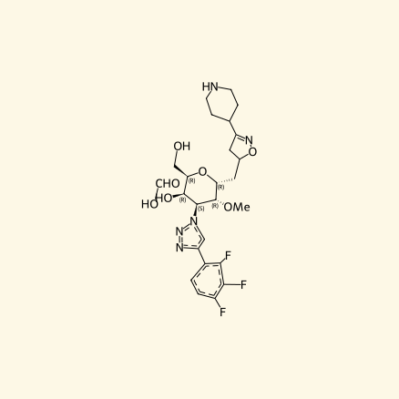 CO[C@@H]1[C@@H](n2cc(-c3ccc(F)c(F)c3F)nn2)[C@@H](O)[C@@H](CO)O[C@@H]1CC1CC(C2CCNCC2)=NO1.O=CO